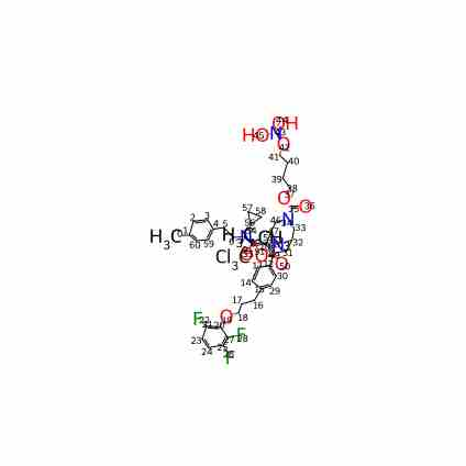 Cc1ccc(CCN(C(=O)C2=C(c3ccc(CCCOc4c(F)ccc(F)c4F)cc3)CC3CN(C(=O)OCCCCON(O)O)CC2N3C(=O)OC(C)(C)C(Cl)(Cl)Cl)C2CC2)cc1